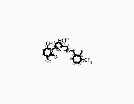 CCc1ccc(C)n(-c2ccc(CNCc3cccc(C(F)(F)F)c3F)s2)c1=O.Cl